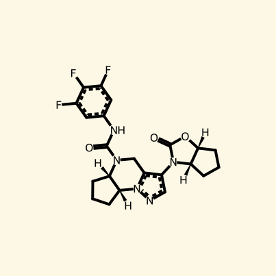 O=C(Nc1cc(F)c(F)c(F)c1)N1Cc2c(N3C(=O)O[C@@H]4CCC[C@@H]43)cnn2[C@@H]2CCC[C@@H]21